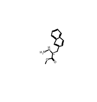 COC(=O)[C@H](Cc1ccc2ccccc2c1)NN